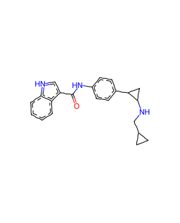 O=C(Nc1ccc(C2CC2NCC2CC2)cc1)c1c[nH]c2ccccc12